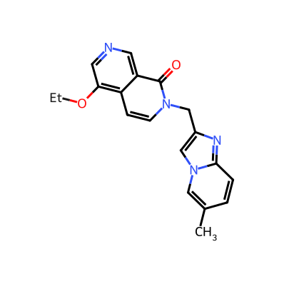 CCOc1cncc2c(=O)n(Cc3cn4cc(C)ccc4n3)ccc12